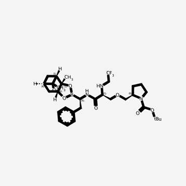 CC(C)(C)OC(=O)N1CCC[C@@H]1COC[C@H](NCC(F)(F)F)C(=O)N[C@@H](Cc1ccccc1)B1O[C@@H]2C[C@H]3C[C@@H](C3(C)C)[C@]2(C)O1